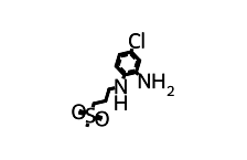 CS(=O)(=O)CCCNc1ccc(Cl)cc1N